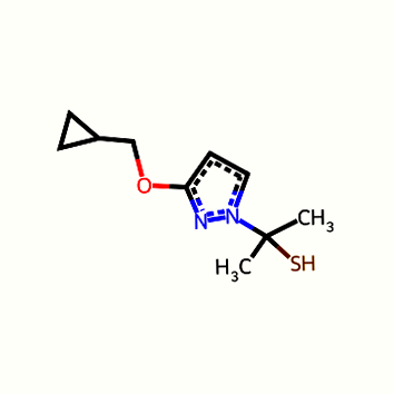 CC(C)(S)n1ccc(OCC2CC2)n1